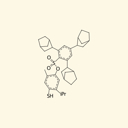 Cc1cc(S)c(C(C)C)cc1OS(=O)(=O)c1c(C2CC3CCC2C3)cc(C2CC3CCC2C3)cc1C1CC2CCC1C2